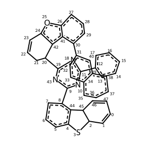 C1=CC2Sc3cccc(-c4nc(-c5ccccc5)nc(C5CC=Cc6oc7cccc(-c8ccc9ccccc9c8)c7c65)n4)c3C2C=C1